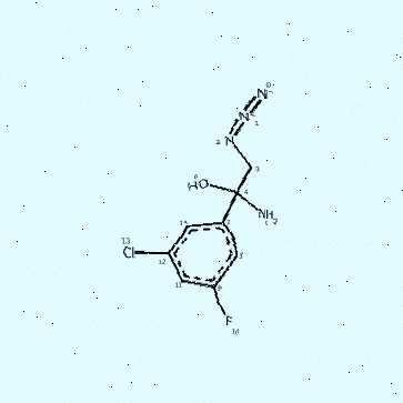 [N-]=[N+]=NCC(N)(O)c1cc(F)cc(Cl)c1